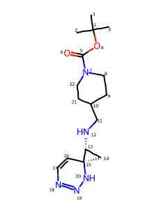 CC(C)(C)OC(=O)N1CCC(CN[C@@H]2C[C@]23C=CN=NN3)CC1